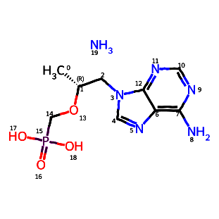 C[C@H](Cn1cnc2c(N)ncnc21)OCP(=O)(O)O.N